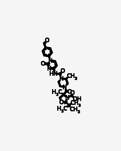 CC1CN(C(=O)[C@]2(C)CO[C@H](C(C)(C)C)N2C(=O)O)CCN1C(=O)Nc1ccn(-c2ccc(C=O)cc2)c(=O)n1